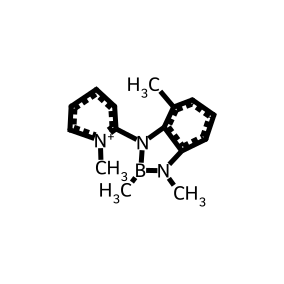 CB1N(C)c2cccc(C)c2N1c1cccc[n+]1C